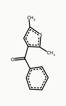 Cc1cc(C(=O)c2ccccc2)c(C)s1